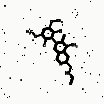 COc1cc(OC)c(Cl)c(-c2cc3cnc(CNC=O)cc3n(C)c2=O)c1Cl